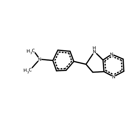 CN(C)c1ccc(C2Cc3nccnc3N2)cc1